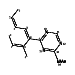 C\C=C/C=C(\C(C)=C/C)c1ncnc(NC)n1